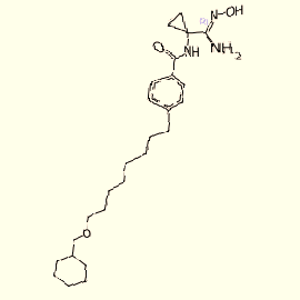 N/C(=N\O)C1(NC(=O)c2ccc(CCCCCCCCOCC3CCCCC3)cc2)CC1